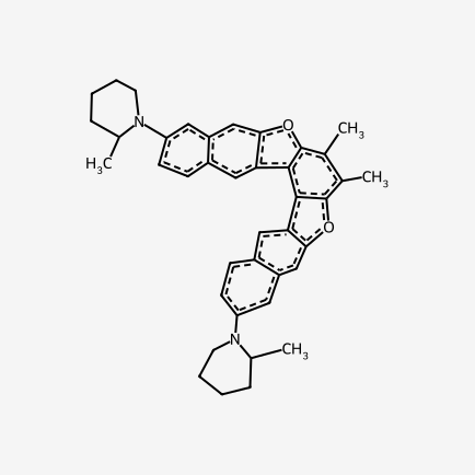 Cc1c(C)c2oc3cc4cc(N5CCCCC5C)ccc4cc3c2c2c1oc1cc3cc(N4CCCCC4C)ccc3cc12